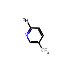 [2H]c1ccc(C(F)(F)F)cn1